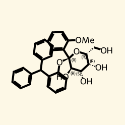 COc1ccccc1[C@]1(Oc2ccccc2C(c2ccccc2)c2ccccc2)O[C@H](CO)[C@H](O)[C@H](O)[C@H]1O